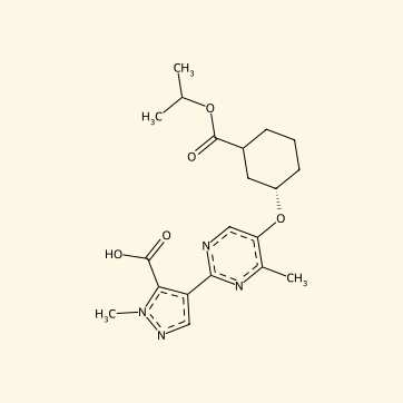 Cc1nc(-c2cnn(C)c2C(=O)O)ncc1O[C@H]1CCCC(C(=O)OC(C)C)C1